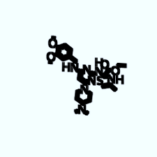 CCOC(=O)C1(Nc2nc(NCc3ccc(OC)c(OC)c3)cc(N3CCC(N(C)C)CC3)n2)NC(C)=CS1